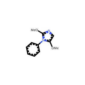 COc1cnc(OC)n1-c1ccccc1